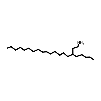 CCCCCCCCCCCCCCCC(CCN)CCCCC